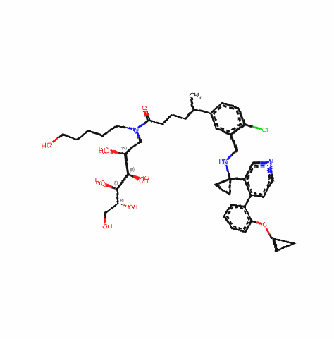 CC(CCCC(=O)N(CCCCCO)C[C@H](O)[C@@H](O)[C@H](O)[C@H](O)CO)c1ccc(Cl)c(CNC2(c3cnccc3-c3ccccc3OC3CC3)CC2)c1